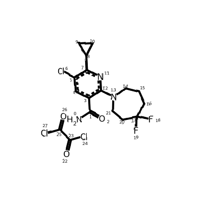 NC(=O)c1cc(Cl)c(C2CC2)nc1N1CCCC(F)(F)CC1.O=C(Cl)C(=O)Cl